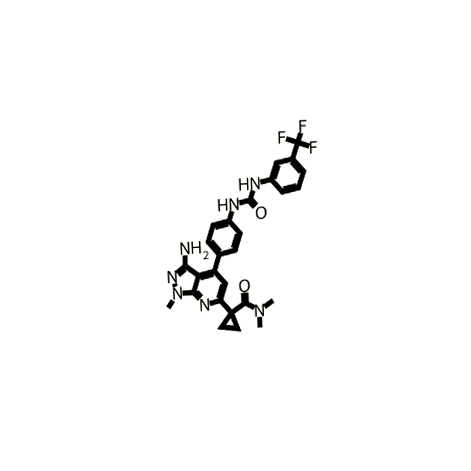 CN(C)C(=O)C1(c2cc(-c3ccc(NC(=O)Nc4cccc(C(F)(F)F)c4)cc3)c3c(N)nn(C)c3n2)CC1